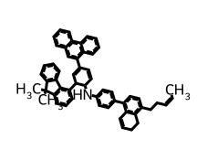 C/C=C\CCc1ccc(-c2ccc(NC3C=CC(c4cc5ccccc5c5ccccc45)=CC3c3cccc4c3-c3ccccc3C4(C)C)cc2)c2c1CCC=C2